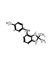 Cc1ccc(Nc2cccc3c2OC(C)(C)O3)cc1